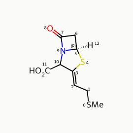 CSCC=C1S[C@@H]2CC(=O)N2C1C(=O)O